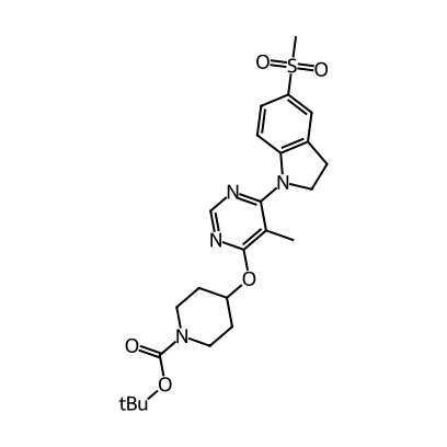 Cc1c(OC2CCN(C(=O)OC(C)(C)C)CC2)ncnc1N1CCc2cc(S(C)(=O)=O)ccc21